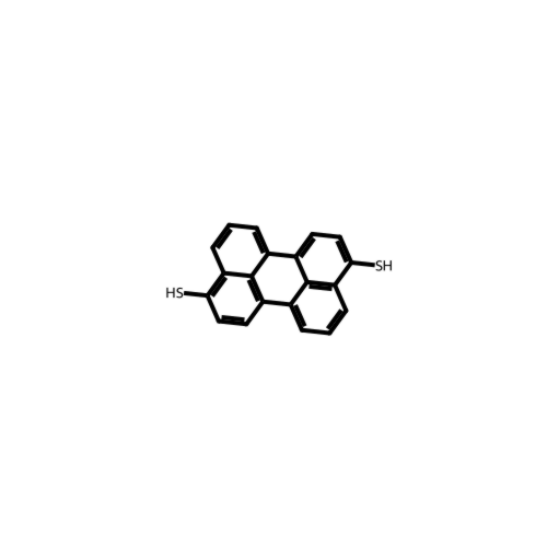 Sc1ccc2c3cccc4c(S)ccc(c5cccc1c52)c43